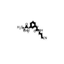 CN(C)C(=O)Nc1cccc(CC(=O)NCCCC#N)c1